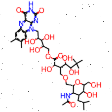 CC(=O)NC1C(COCC(C(O)C(=O)OCC(O)C(O)C(O)Cn2c3nc(=O)[nH]c(=O)c-3nc3cc(C)c(C)cc32)C(O)C(O)C(C)(C)C)OC(CO)C(O)C1CC(C)C